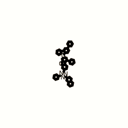 c1ccc(-c2ccc3c(c2)c2ccccc2n3-c2cc(-c3ccccc3)c3c(c2)oc2cc(-c4nc(-c5ccccc5)nc(-c5ccc6ccccc6c5)n4)ccc23)cc1